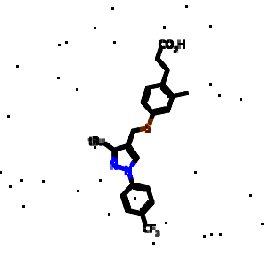 Cc1cc(SCc2cn(-c3ccc(C(F)(F)F)cc3)nc2C(C)(C)C)ccc1CCC(=O)O